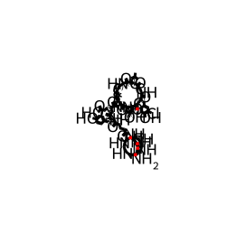 CC(C)C[C@@H]1CC(=O)CNC(=O)[C@H](Cc2ccc(O)c(Cl)c2)CC(=O)[C@@H]2C[C@@H](O)CN2C(=O)[C@@H](NC(=O)[C@@H](CCC(=O)O)CC(=O)[C@H](Cc2ccc(O)cc2)NC(=O)CCCC(=O)N[C@]23CNCCNC[C@](N)(CNCCNC2)CNCCNC3)CSSC[C@@H](C)NC1=O